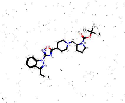 CCc1nn(-c2noc(C3CCN(C[C@@H]4CCCN4C(=O)OC(C)(C)C)CC3)n2)c2ccccc12